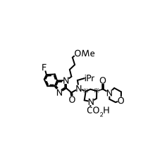 COCCCCn1c(C(=O)N(CC(C)C)[C@H]2C[C@@H](C(=O)N3CCOCC3)CN(C(=O)O)C2)nc2ccc(F)cc21